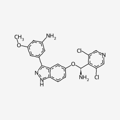 COc1cc(N)cc(-c2n[nH]c3ccc(O[C@H](N)c4c(Cl)cncc4Cl)cc23)c1